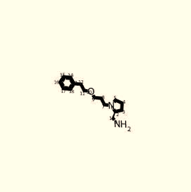 NC[C@@H]1CCCN1CCCOCCc1ccccc1